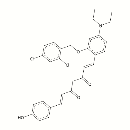 CCN(CC)c1ccc(C=CC(=O)CC(=O)C=Cc2ccc(O)cc2)c(OCc2ccc(Cl)cc2Cl)c1